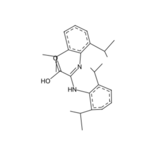 CC(C)c1cccc(C(C)C)c1/N=C(/Nc1c(C(C)C)cccc1C(C)C)C(=O)O